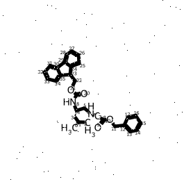 CC(C)C[C@@H](CNCC(=O)OCc1ccccc1)NC(=O)OCC1c2ccccc2-c2ccccc21